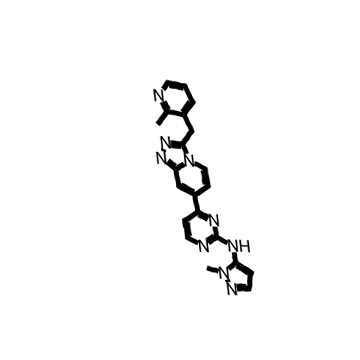 Cc1ncccc1Cc1nnc2cc(-c3ccnc(Nc4ccnn4C)n3)ccn12